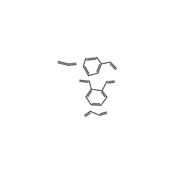 C=C=C.C=CC=C.C=Cc1ccccc1.C=Cc1ccccc1C=C